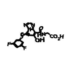 O=C(O)CNC(=O)c1c(O)cc(Sc2cc(F)cc(F)c2)n2ncnc12